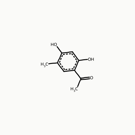 CC(=O)c1cc(C)c(O)cc1O